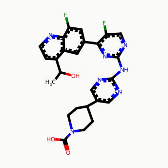 CC(O)c1ccnc2c(F)cc(-c3nc(Nc4ncc(C5CCN(C(=O)O)CC5)cn4)ncc3F)cc12